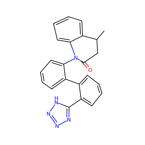 CC1CC(=O)N(c2ccccc2-c2ccccc2-c2nnn[nH]2)c2ccccc21